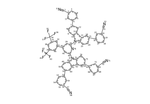 N#Cc1cccc(-c2ccc3c(c2)c2cc(-c4cccc(C#N)c4)ccc2n3-c2cc(-c3cc(C(F)(F)F)cc(C(F)(F)F)c3)cc(-n3c4ccc(-c5cccc(C#N)c5)cc4c4cc(-c5cccc(C#N)c5)ccc43)n2)c1